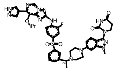 CC(C)Oc1c(-c2cn[nH]c2)ncn2nc(Nc3ccc(S(=O)(=O)c4cccc([C@H](C)N5CCN(c6ccc7c(N8CCC(=O)NC8=O)nn(C)c7c6)CC5)c4)cc3F)nc12